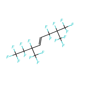 FC(F)(F)C(F)(F)C(F)(C=CC(F)(F)C(F)(C(F)(F)F)C(F)(F)F)C(F)(F)F